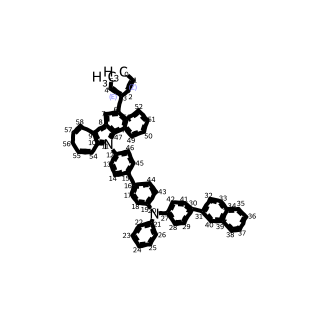 C/C=C\C(=C/C)c1cc2c3c(n(-c4ccc(-c5ccc(N(c6ccccc6)c6ccc(-c7ccc8ccccc8c7)cc6)cc5)cc4)c2c2ccccc12)C=CCC=C3